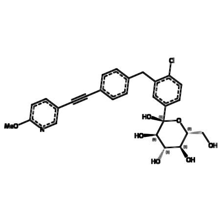 COc1ccc(C#Cc2ccc(Cc3cc([C@]4(O)O[C@H](CO)[C@@H](O)[C@H](O)[C@H]4O)ccc3Cl)cc2)cn1